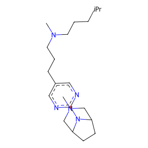 CC(C)CCCN(C)CCCc1cnc(N2C3CCC2CN(C)C3)nc1